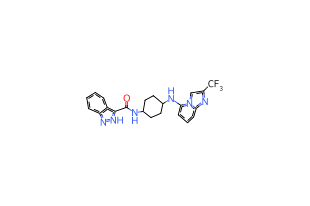 O=C(NC1CCC(Nc2cccc3nc(C(F)(F)F)cn23)CC1)c1[nH]nc2ccccc12